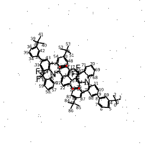 CC(C)(C)c1cccc(-c2ccc(N(C3=C4C=CC5=C6C(=CC=C(C=C3)C46)C(N(c3ccc(-c4cccc(C(C)(C)C)c4)cc3-c3cccc(C(C)(C)C)c3)c3ccccc3C(F)(F)F)C=C5)c3ccccc3C(F)(F)F)c(-c3cccc(C(C)(C)C)c3)c2)c1